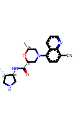 C[C@@H]1CN(c2ccc(C#N)c3ncccc23)C[C@H](C(=O)N[C@@H]2CNC[C@@H]2F)O1